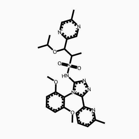 COc1cccc(OC)c1-n1c(NS(=O)(=O)C(C)C(OC(C)C)c2cnc(C)cn2)nnc1-c1cccc(C)n1